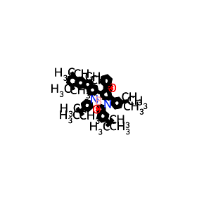 CC(C)(C)c1ccc(N2B3c4oc5ccc(C(C)(C)C)cc5c4-n4c5ccc(C(C)(C)C)cc5c5c6oc7ccccc7c6c(c3c54)-c3cc4c(cc32)-c2cc3c(cc2C4(C)C)C(C)(C)CCC3(C)C)cc1